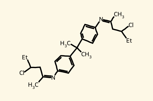 CCC(Cl)CC(C)=Nc1ccc(C(C)(C)c2ccc(N=C(C)CC(Cl)CC)cc2)cc1